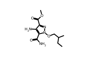 CCC(C)COn1nc(C(=O)OC)c(N)c1C(N)=O